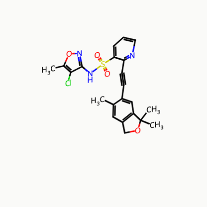 Cc1cc2c(cc1C#Cc1ncccc1S(=O)(=O)Nc1noc(C)c1Cl)C(C)(C)OC2